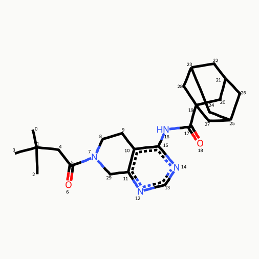 CC(C)(C)CC(=O)N1CCc2c(ncnc2NC(=O)C23CC4CC(CC(C4)C2)C3)C1